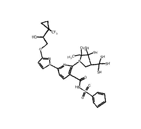 CC1(C)N(c2nc(-n3ccc(OCC(O)C4(C(F)(F)F)CC4)n3)ccc2C(=O)NS(=O)(=O)c2ccccc2)CC(C(S)(S)S)C1(S)S